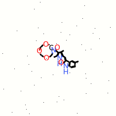 Cc1ccc2c(c1)/C(=C/c1[nH]c(C)c(C(=O)N3CCOCCOCCOCC3)c1C)C(=O)N2